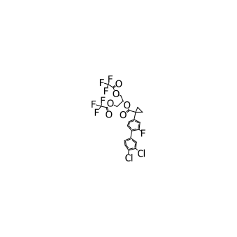 O=C(OCC(COC(=O)C(F)(F)F)OC(=O)C1(c2ccc(-c3ccc(Cl)c(Cl)c3)c(F)c2)CC1)C(F)(F)F